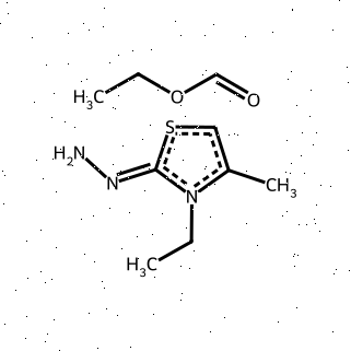 CCOC=O.CCn1c(C)csc1=NN